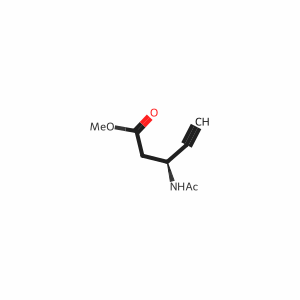 C#C[C@H](CC(=O)OC)NC(C)=O